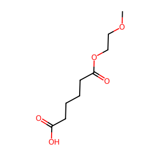 COCCOC(=O)CCCCC(=O)O